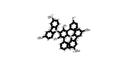 CC(C)c1c(-c2cccc(F)c2)c(-n2c3ccc(C(C)(C)C)cc3c3cc(C(C)(C)C)ccc32)c(-c2cccc(F)c2)c(C(C)C)c1-n1c2ccc(C(C)(C)C)cc2c2cc(C(C)(C)C)ccc21